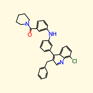 O=C(c1cccc(Nc2cccc(-c3c(Cc4ccccc4)cnc4c(Cl)cccc34)c2)c1)N1CCCCC1